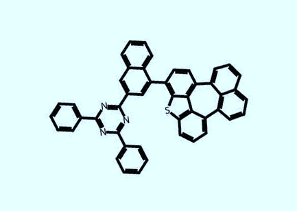 c1ccc(-c2nc(-c3ccccc3)nc(-c3cc(-c4ccc5c6c4sc4cccc(c46)-c4cccc6cccc-5c46)c4ccccc4c3)n2)cc1